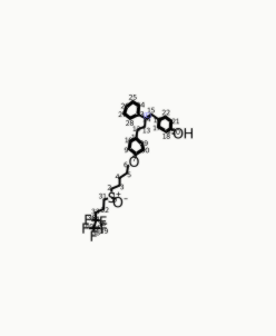 [O-][S+](CCCCCOc1ccc(CC/C(=C\c2ccc(O)cc2)c2ccccc2)cc1)CCCC(F)(F)C(F)(F)F